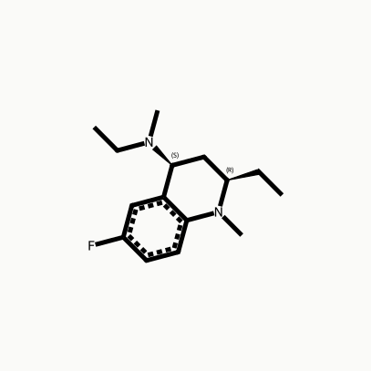 CC[C@@H]1C[C@H](N(C)CC)c2cc(F)ccc2N1C